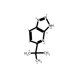 CC(C)(C)c1ccc2nn[nH]c2n1